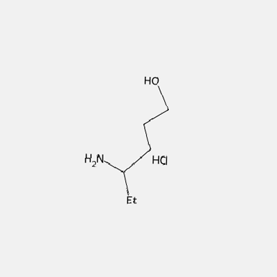 CCC(N)CCCO.Cl